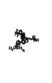 CN(C)c1cccc(-c2ccc3c(c2)N(S(=O)(=O)c2cccc(C(F)(F)F)c2)C[C@H](CCC(=O)O)O3)n1